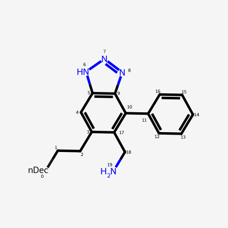 CCCCCCCCCCCCc1cc2[nH]nnc2c(-c2ccccc2)c1CN